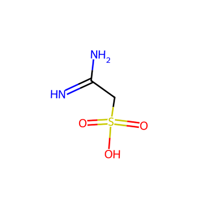 N=C(N)CS(=O)(=O)O